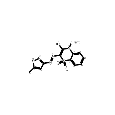 CCCCCN1C(O)=C(N=Nc2cc(C)on2)S(=O)(=O)c2ccccc21